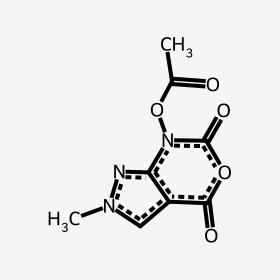 CC(=O)On1c(=O)oc(=O)c2cn(C)nc21